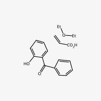 C=CC(=O)O.CCOCC.O=C(c1ccccc1)c1ccccc1O